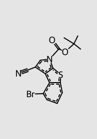 CC(C)(C)OC(=O)n1cc(C#N)c2c3c(Br)cccc3sc21